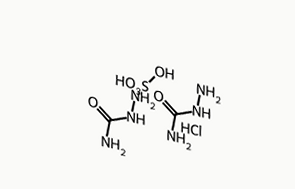 Cl.NNC(N)=O.NNC(N)=O.O=S(=O)(O)O